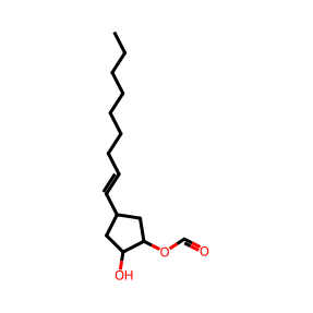 CCCCCCCC=CC1CC(O)C(OC=O)C1